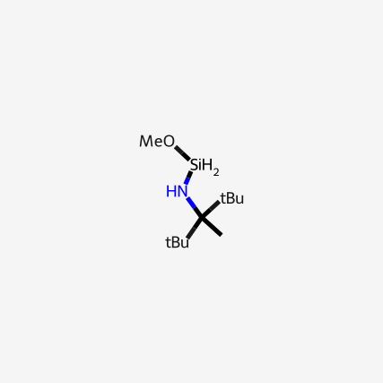 CO[SiH2]NC(C)(C(C)(C)C)C(C)(C)C